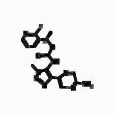 C[C@@H](OC(=O)Nc1c(-c2cnc(N)cn2)nnn1C)c1cccnc1F